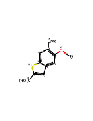 CCOC(=O)c1cc2cc(OC(C)C)c(OC)cc2s1